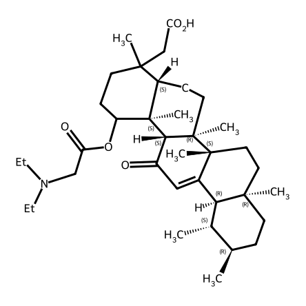 CCN(CC)CC(=O)OC1CCC(C)(CC(=O)O)[C@@H]2CC[C@]3(C)[C@H](C(=O)C=C4[C@@H]5[C@@H](C)[C@H](C)CC[C@]5(C)CC[C@]43C)[C@@]12C